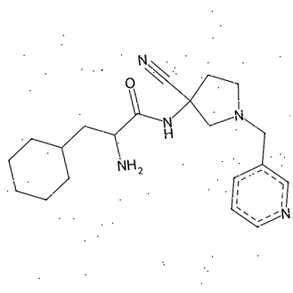 N#CC1(NC(=O)C(N)CC2CCCCC2)CCN(Cc2cccnc2)C1